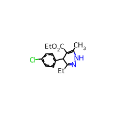 CCOC(=O)C1=C(C)NN=C(CC)C1c1ccc(Cl)cc1